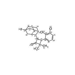 CC1(C)C(=O)N(C2C3CC4CC2CC(F)(C4)C3)C1c1cccc(Cl)c1Cl